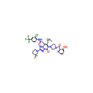 CCc1c(N2CCN(C(=O)c3ncccc3O)CC2)c(=O)n2nc(N3CCC[C@H](F)C3)nc2n1CC(=O)Nc1ccc(C(F)(F)F)cc1Cl